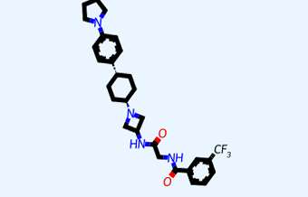 O=C(CNC(=O)c1cccc(C(F)(F)F)c1)NC1CN([C@H]2CC[C@@H](c3ccc(N4CCCC4)cc3)CC2)C1